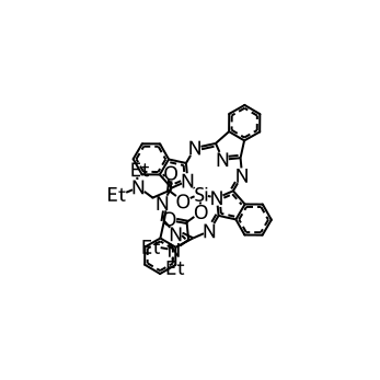 CCN(CC)CC(=O)O[Si]1(OC(=O)CN(CC)CC)n2c3c4ccccc4c2/N=C2N=C(/N=c4/c5ccccc5/c(n41)=N/C1=NC(=N\3)/c3ccccc31)c1ccccc1\2